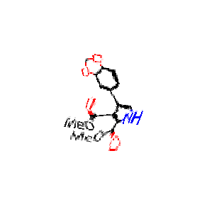 COC(=O)c1[nH]cc(C2=CC3OCOC3C=C2)c1C(=O)OC